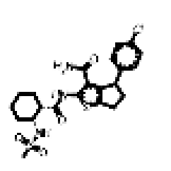 CS(=O)(=O)N[C@@H]1CCCC[C@@H]1C(=O)Nc1sc2c(c1C(N)=O)C(c1ccc(Cl)cc1)CC2